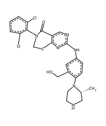 C[C@@H]1CNCCN1c1ccc(Nc2ncc3c(n2)SCN(c2c(Cl)cccc2Cl)C3=O)cc1CO